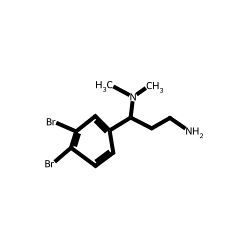 CN(C)C(CCN)c1ccc(Br)c(Br)c1